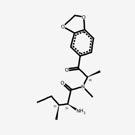 CC[C@H](C)[C@H](N)C(=O)N(C)[C@H](C)C(=O)c1ccc2c(c1)OCO2